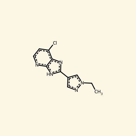 CCn1cc(-c2nc3c(Cl)ccnc3[nH]2)cn1